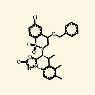 Cc1ccc(F)c(C(C)[C@@H](c2n[nH]c(=O)o2)N2CC(OCc3ccccc3)c3cc(Cl)ccc3S2(=O)=O)c1C